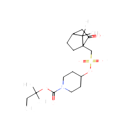 CCC(C)(C)OC(=O)N1CCC(OS(=O)(=O)CC23CCC(CC2=O)C3(C)C)CC1